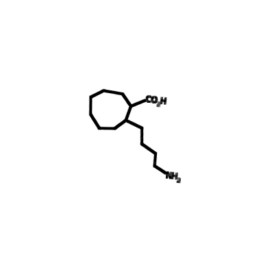 NCCCCC1CCCCCCC1C(=O)O